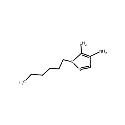 CCCCCCn1ncc(N)c1C